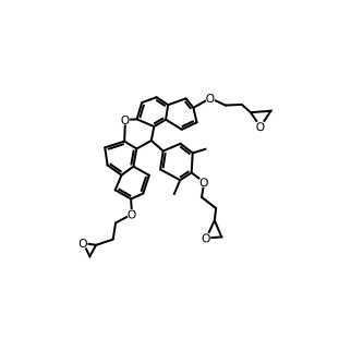 Cc1cc(C2c3c(ccc4cc(OCCC5CO5)ccc34)Oc3ccc4cc(OCCC5CO5)ccc4c32)cc(C)c1OCCC1CO1